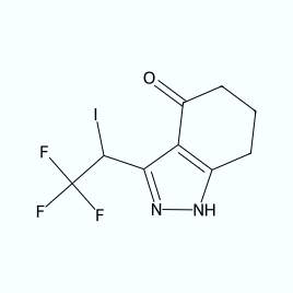 O=C1CCCc2[nH]nc(C(I)C(F)(F)F)c21